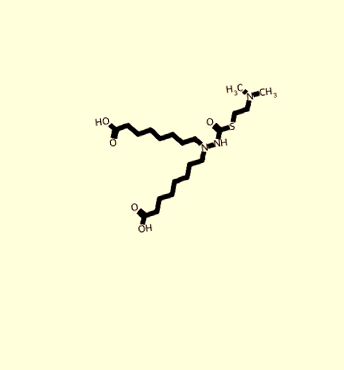 CN(C)CCSC(=O)NN(CCCCCCCC(=O)O)CCCCCCCC(=O)O